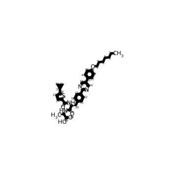 CCCCCCCOc1ccc(-c2cnc(-c3ccc(C[C@H](NC(=O)c4ccc(C5CC5)s4)C(=O)N[C@H](C)C(=O)O)cc3)nc2)cc1